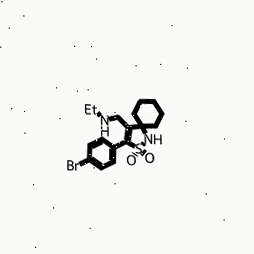 CCNCC1=C(c2ccc(Br)cc2)S(=O)(=O)NC12CCCCC2